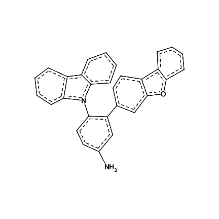 Nc1ccc(-n2c3ccccc3c3ccccc32)c(-c2ccc3c(c2)oc2ccccc23)c1